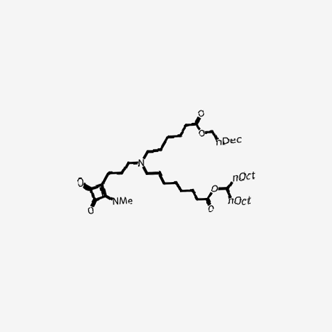 CCCCCCCCCCCOC(=O)CCCCCN(CCCCCCCC(=O)OC(CCCCCCCC)CCCCCCCC)CCCc1c(NC)c(=O)c1=O